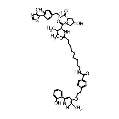 Cc1ncsc1-c1ccc(CNC(=O)[C@@H]2C[C@@H](O)CN2C(=O)[C@@H](NC(=O)CCCCCCCCCNC(=O)c2ccc(CCOc3cc(-c4ccccc4O)nnc3N)cc2)C(C)C)cc1